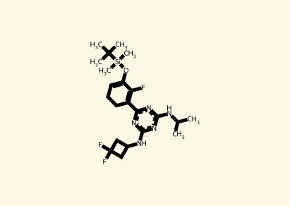 CC(C)Nc1nc(NC2CC(F)(F)C2)nc(C2=C(F)C(O[Si](C)(C)C(C)(C)C)=CCC2)n1